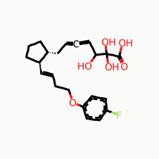 O=C(O)C(O)(O)C(O)C=C=CC[C@H]1CCC[C@@H]1/C=C/CCOc1ccc(F)cc1